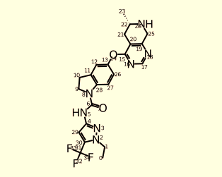 CCn1nc(NC(=O)N2CCc3cc(Oc4ncnc5c4C[C@H](C)NC5)ccc32)cc1C(F)(F)F